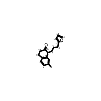 Cc1ccc2c(c1)C(CCCc1ccco1)C(=O)CC2